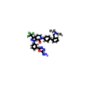 CN(C)Cc1ccccc1-c1ccc(N2CCc3c(C(F)(F)F)nn(-c4cccc(-c5nnc(N)o5)c4)c3C2=O)cc1